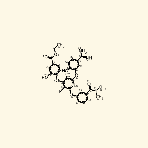 CCOC(=O)c1ccc(Oc2c(F)c(Oc3cccc(C(=O)N(C)C)c3)nc(Oc3cc(C(=N)N)ccc3O)c2F)c(O)c1